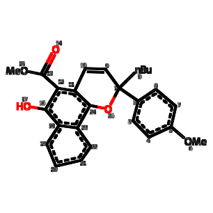 CCCCC1(c2ccc(OC)cc2)C=Cc2c(C(=O)OC)c(O)c3ccccc3c2O1